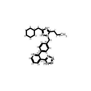 CCCc1nc(CC2CCCCC2)nn1Cc1ccc(-c2ncccc2-c2nnn[nH]2)cc1